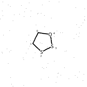 C1CSSO1